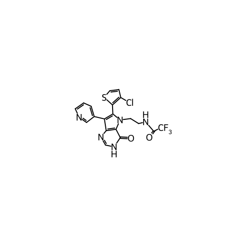 O=C(NCCn1c(-c2sccc2Cl)c(-c2cccnc2)c2nc[nH]c(=O)c21)C(F)(F)F